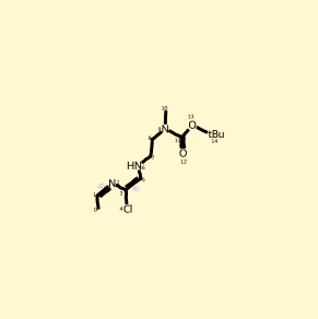 C/C=N\C(Cl)=C/NCCN(C)C(=O)OC(C)(C)C